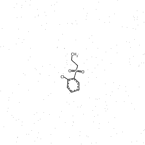 [CH2]CCS(=O)(=O)c1ccccc1Cl